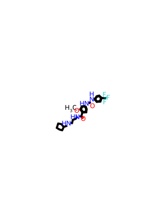 COc1cc(NC(=O)Nc2ccc(C(F)(F)F)cc2)ccc1C(=O)NCCCNCC1CCCCC1